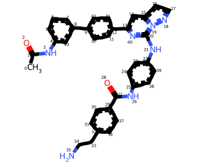 CC(=O)Nc1cccc(-c2ccc(-c3cc4ccnn4c(Nc4ccc(NC(=O)c5ccc(CCN)cc5)cc4)n3)cc2)c1